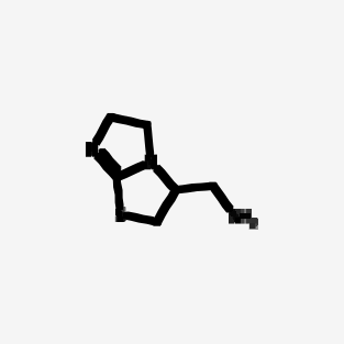 NCC1CSC2=NCCN21